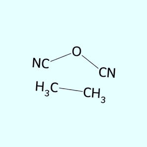 CC.N#COC#N